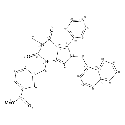 COC(=O)c1cccc(Cn2c(=O)n(C)c(=O)c3c(-c4ccncc4)n(Cc4cccc5ccccc45)nc32)c1